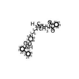 C[N+](C)(CCCCCN1CCC(OC(=O)Nc2ccccc2-c2ccccc2)CC1)CCCCN1C(=O)c2ccccc2C1=O